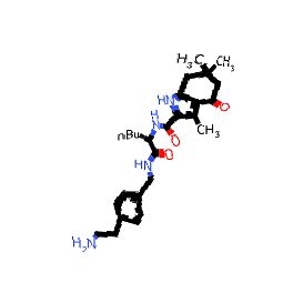 CCCCC(NC(=O)c1[nH]c2c(c1C)C(=O)CC(C)(C)C2)C(=O)NCc1ccc(CCN)cc1